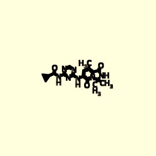 Cc1cc(Nc2ncnc(NC(=O)C3CC3)n2)c(=O)n2c1C(=O)NC2(C)C